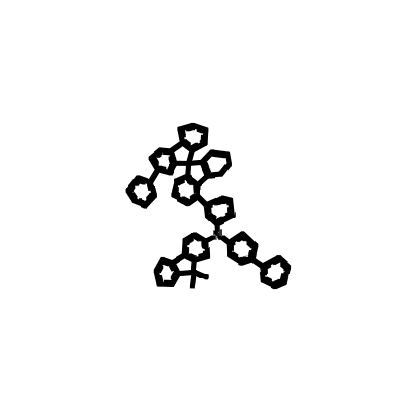 CC1(C)c2ccccc2-c2ccc(N(c3ccc(-c4ccccc4)cc3)c3cccc(-c4cccc5c4C4=C(C=CCC4)C54c5ccccc5-c5ccc(-c6ccccc6)cc54)c3)cc21